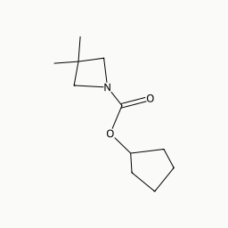 CC1(C)CN(C(=O)OC2CCCC2)C1